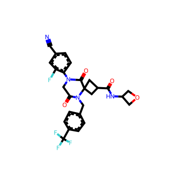 N#Cc1ccc(N2CC(=O)N(Cc3ccc(C(F)(F)F)cc3)C3(CC(C(=O)NC4COC4)C3)C2=O)c(F)c1